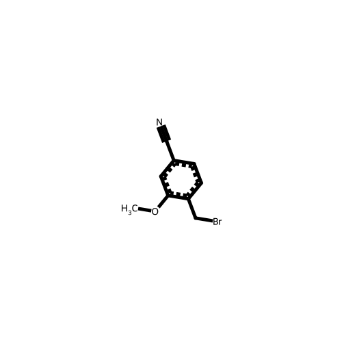 COc1cc(C#N)ccc1CBr